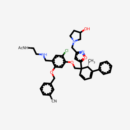 CC(=O)NCCNCc1cc(Cl)c(OCC2(c3cc(CN4CCC(O)C4)no3)C=CC=C(c3ccccc3)[C@H]2C)cc1OCc1cccc(C#N)c1